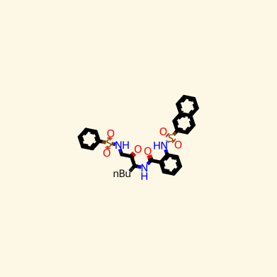 CCCCC(NC(=O)c1ccccc1NS(=O)(=O)c1ccc2ccccc2c1)C(=O)CNS(=O)(=O)c1ccccc1